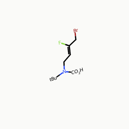 CC(C)(C)N(CC=C(F)CBr)C(=O)O